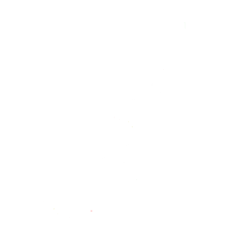 CCS(=O)(=O)CC(O)COc1c(Cl)cc(S(=O)(=O)c2ccc(OCC(C)CCl)cc2)cc1Cl